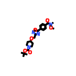 CON(C)C(=O)c1ccc(-c2nc(COC3CCN(C(=O)OC(C)(C)C)CC3)no2)cc1